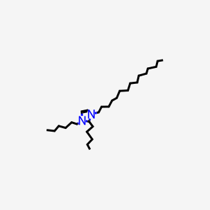 CCCCCCCCCCCCCCCN1C=CN(CCCCCC)C1CCCCC